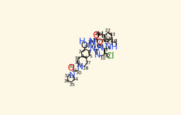 COc1cc2c(cc1Nc1ncc(Cl)c(N[C@H]3[C@@H](OC(N)=O)[C@@H]4C=C[C@H]3C4)n1)CCN(CC(=O)N1CCCC1)CC2